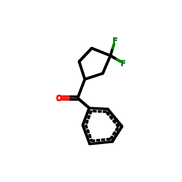 O=C(c1ccccc1)C1CCC(F)(F)C1